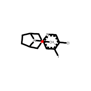 CN1CC2CCC(C1)N2c1cc(I)c(Cl)cn1